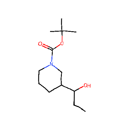 CCC(O)C1CCCN(C(=O)OC(C)(C)C)C1